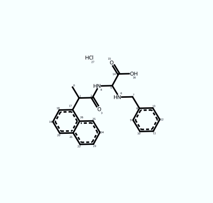 CC(C(=O)NC(NCc1ccccc1)C(=O)O)c1cccc2ccccc12.Cl